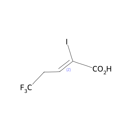 O=C(O)/C(I)=C/CC(F)(F)F